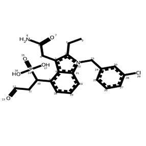 CCc1c(CC(N)=O)c2c(C(CC=O)P(=O)(O)O)cccc2n1Cc1cccc(Cl)c1